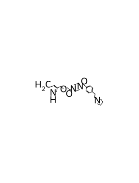 C=C/C=C(\C=N)COCC(=O)N1CCN(C(=O)c2ccc(CCN3CCCC3)cc2)CC1